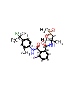 Cc1cc(C(F)(C(F)(F)F)C(F)(F)F)ccc1NC(=O)c1c(I)cccc1C(=O)NC(C)(C)CS(C)(=O)=O